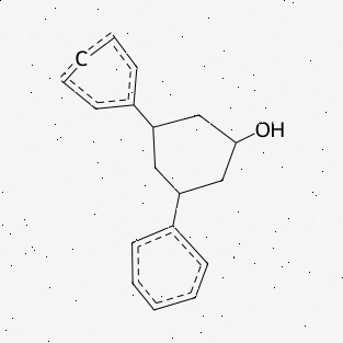 OC1CC(c2ccccc2)CC(c2ccccc2)C1